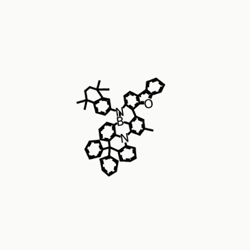 Cc1cc2c3c(c1)N1c4ccccc4C(c4ccccc4)(c4ccccc4)c4cccc(c41)B3N(c1ccc3c(c1)C(C)(C)CCC3(C)C)c1ccc3c(oc4ccccc43)c1-2